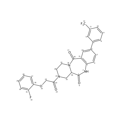 O=C1Nc2ccc(-c3cccc(C(F)(F)F)c3)cc2C(=O)N2CCN(C(=O)COc3ccccc3F)CC12